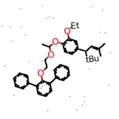 CCOc1cc(C(C=C(C)C)C(C)(C)C)ccc1OC(C)OCCOc1c(-c2ccccc2)cccc1-c1ccccc1